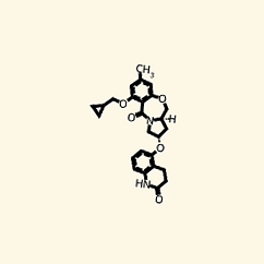 Cc1cc(OCC2CC2)c2c(c1)OC[C@H]1C[C@H](Oc3cccc4c3CCC(=O)N4)CN1C2=O